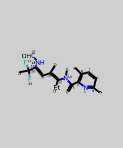 C=C(c1nc(C)ccc1C)N(C)/C(CC)=C(C)/C=C(\NC=O)C(C)(F)F